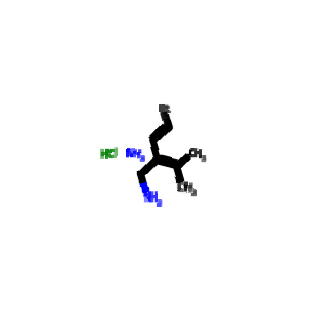 CCC=CC(CN)=C(C)C.Cl.N